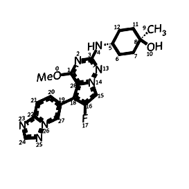 COc1nc(N[C@H]2CC[C@](C)(O)CC2)nn2cc(F)c(-c3ccc4ncnn4c3)c12